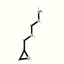 CCCOCOCC1CO1